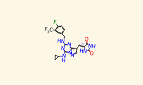 O=C1NC(=O)/C(=C/c2cnn3c(NC4CC4)nc(NCc4ccc(F)c(C(F)(F)F)c4)nc23)N1